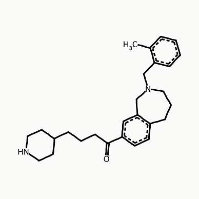 Cc1ccccc1CN1CCCc2ccc(C(=O)CCCC3CCNCC3)cc2C1